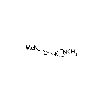 CNCCOCCN1CCN(C)CC1